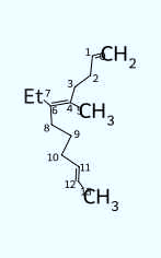 C=CCCC(C)=C(CC)CCCC=CC